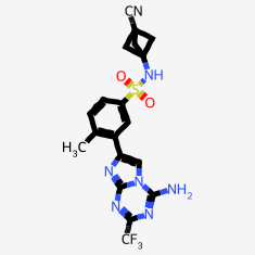 Cc1ccc(S(=O)(=O)NC23CC(C#N)(C2)C3)cc1-c1cn2c(N)nc(C(F)(F)F)nc2n1